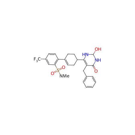 CNS(=O)(=O)c1cc(C(F)(F)F)ccc1C1=CCC(C2=C(Cc3ccccc3)C(=O)NC(O)N2)CC1